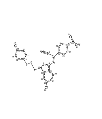 N#C/C(=C\c1cn(CCCc2ccc(Cl)cc2)c2cc(Cl)ccc12)c1ccc(C(=O)O)cc1